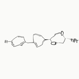 CCC[C@@H]1CO[C@@H](c2ccc(-c3ccc(CC)cc3)cc2)CO1